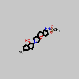 CS(=O)(=O)Nc1ccc2c(c1)CCC1(CCN(C3CCc4cc(C#N)ccc4C3O)CC1)O2